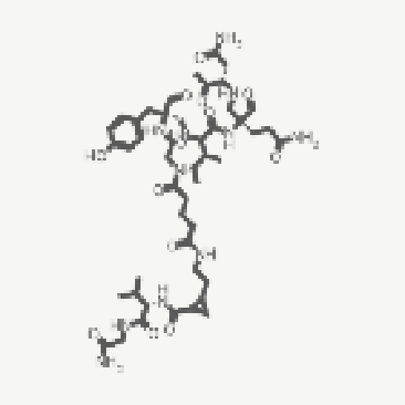 CCC(C)C(NC[C@@](C=O)(Cc1ccc(O)cc1)NC(=O)CNC(=O)CCCC(=O)NCCC1CC1C(=O)N[C@H](C(=O)NCC(N)=O)C(C)C)C(=O)N[C@](C=O)(CCC(N)=O)CN[C@@H](CC(N)=O)C(C)=O